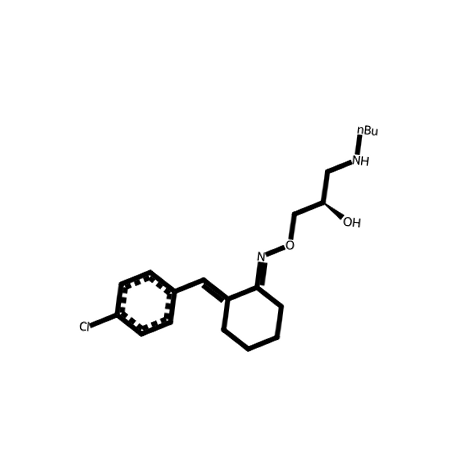 CCCCNC[C@@H](O)CO/N=C1\CCCC\C1=C/c1ccc(Cl)cc1